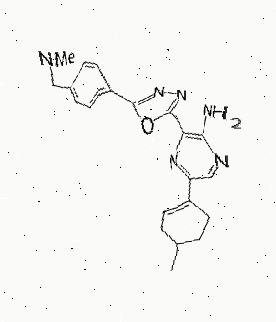 CNCc1ccc(-c2nnc(-c3nc(C4=CCC(C)CC4)cnc3N)o2)cc1